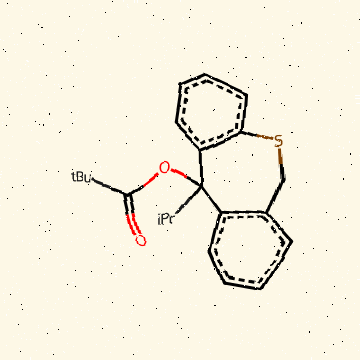 CC(C)C1(OC(=O)C(C)(C)C)c2ccccc2CSc2ccccc21